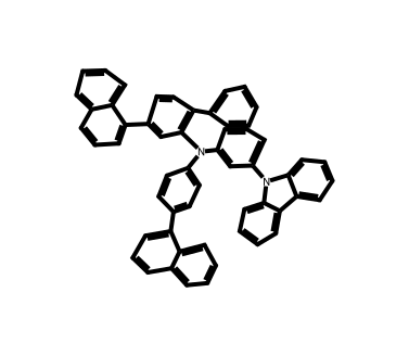 c1ccc(-c2ccc(-c3cccc4ccccc34)cc2N(c2ccc(-c3cccc4ccccc34)cc2)c2cccc(-n3c4ccccc4c4ccccc43)c2)cc1